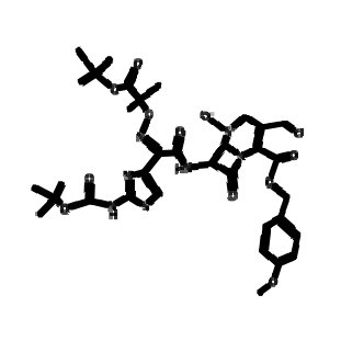 COc1ccc(COC(=O)C2=C(CCl)C[S+]([O-])C3C(NC(=O)/C(=N\OC(C)(C)C(=O)OC(C)(C)C)c4csc(NC(=O)OC(C)(C)C)n4)C(=O)N23)cc1